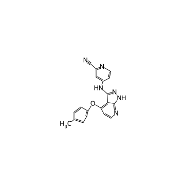 Cc1ccc(Oc2ccnc3[nH]nc(Nc4ccnc(C#N)c4)c23)cc1